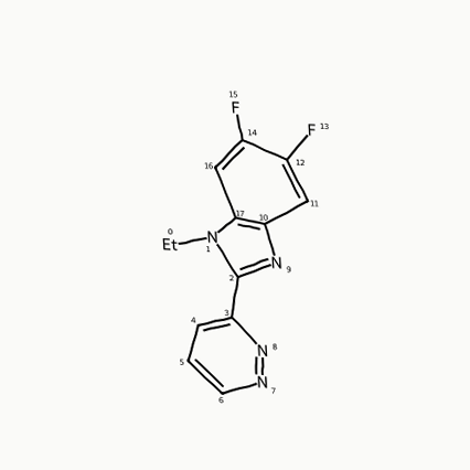 CCn1c(-c2cccnn2)nc2cc(F)c(F)cc21